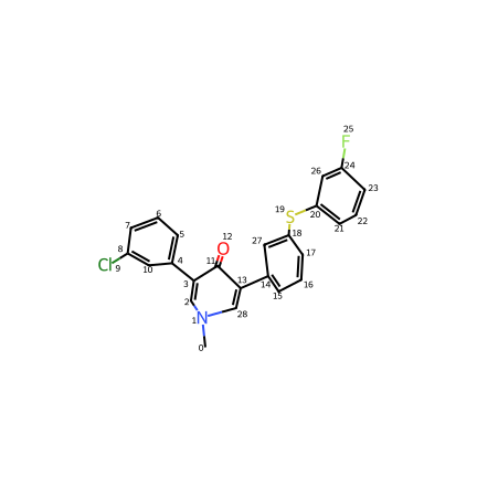 Cn1cc(-c2cccc(Cl)c2)c(=O)c(-c2cccc(Sc3cccc(F)c3)c2)c1